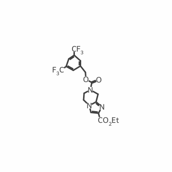 CCOC(=O)c1cn2c(n1)CN(C(=O)OCc1cc(C(F)(F)F)cc(C(F)(F)F)c1)CC2